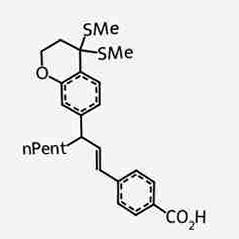 CCCCCC(C=Cc1ccc(C(=O)O)cc1)c1ccc2c(c1)OCCC2(SC)SC